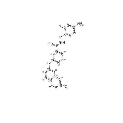 Cc1nc(N)ccc1CNC(=O)c1cc(Cc2cnc3ccc(Cl)cc3c2)ncn1